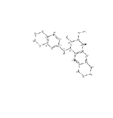 CCC1Nc2cc3c(nc2C(Nc2cnc4c(c2)CCCC4)C1C)CCCC3